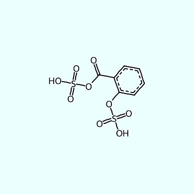 O=C(OS(=O)(=O)O)c1ccccc1OS(=O)(=O)O